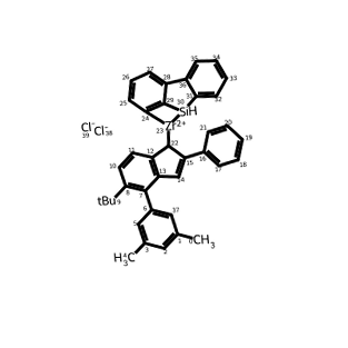 Cc1cc(C)cc(-c2c(C(C)(C)C)ccc3c2C=C(c2ccccc2)[CH]3[Zr+2]2[c]3cccc4c3[SiH]2c2ccccc2-4)c1.[Cl-].[Cl-]